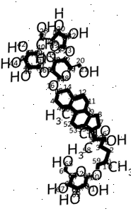 C[C@H](CCC1(O)OC2CC3C4CC=C5C[C@@H](O[C@@H]6O[C@H](CO)C(O[C@@H]7O[C@@H](CO)[C@H](O)[C@H]7O)[C@@H](O)[C@H]6O[C@@H]6O[C@@H](C)[C@H](O)[C@@H](O)[C@H]6O)CC[C@]5(C)C4CC[C@]3(C)C2[C@@H]1C)CO[C@@H]1O[C@H](CO)[C@@H](O)[C@H](O)[C@H]1O